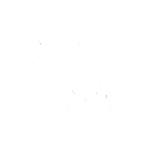 C=C1N=C(CCc2cc(F)c(Cc3ccnc(C)c3)c(F)c2)C=C2N1CCC(C)(CC)N2CCC